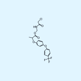 CC(Oc1ccc(Oc2ccc(C(F)(F)F)cc2)cc1)C(=O)OCNC(=O)CCl